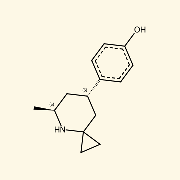 C[C@H]1C[C@H](c2ccc(O)cc2)CC2(CC2)N1